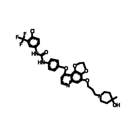 CC1(O)CCN(CCCOc2cc3nccc(Oc4ccc(NC(=O)Nc5ccc(Cl)c(C(F)(F)F)c5)cc4)c3c3c2OCCO3)CC1